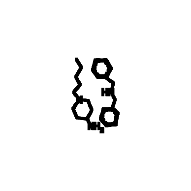 CCCCCN1CCC(N)CC1.c1ccc(CNCc2ccccc2)cc1